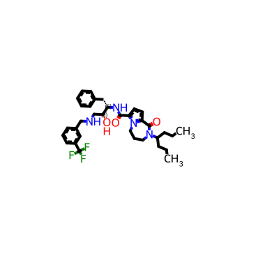 CCCC(CCC)N1CCCn2c(C(=O)N[C@@H](Cc3ccccc3)[C@H](O)CNCc3cccc(C(F)(F)F)c3)ccc2C1=O